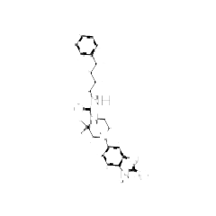 Cn1c(=O)oc2cc(N3CCN(C(=O)NCCCCc4ccccc4)C(C)(C)C3)ccc21